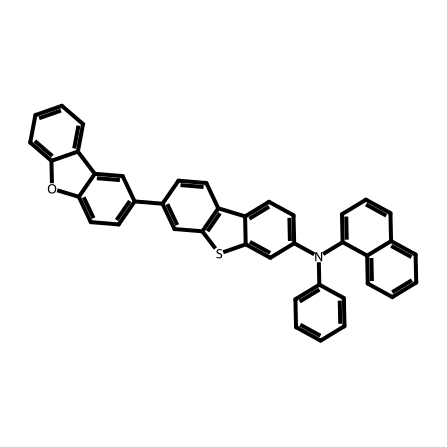 c1ccc(N(c2ccc3c(c2)sc2cc(-c4ccc5oc6ccccc6c5c4)ccc23)c2cccc3ccccc23)cc1